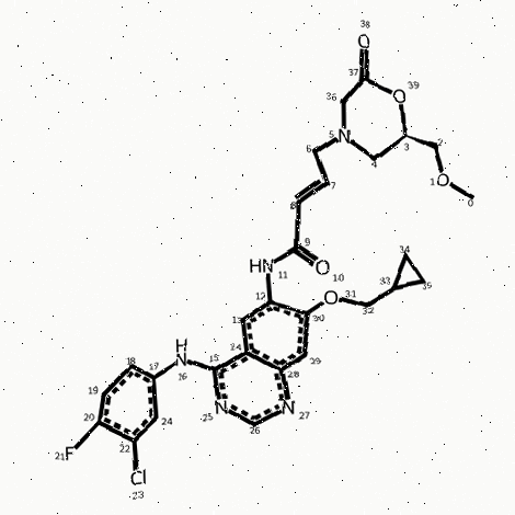 COC[C@H]1CN(C/C=C/C(=O)Nc2cc3c(Nc4ccc(F)c(Cl)c4)ncnc3cc2OCC2CC2)CC(=O)O1